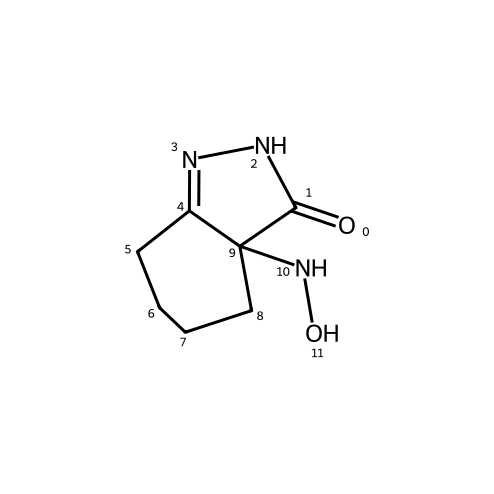 O=C1NN=C2CCCCC12NO